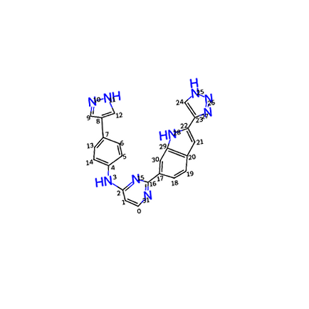 c1cc(Nc2ccc(-c3cn[nH]c3)cc2)nc(-c2ccc3cc(-c4c[nH]nn4)[nH]c3c2)n1